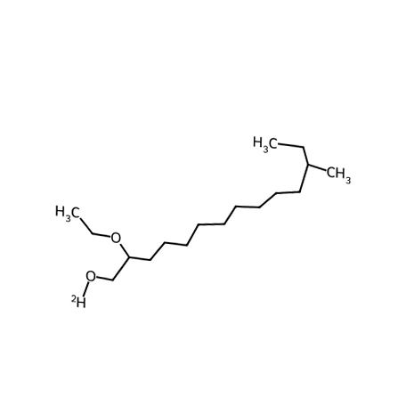 [2H]OCC(CCCCCCCCCC(C)CC)OCC